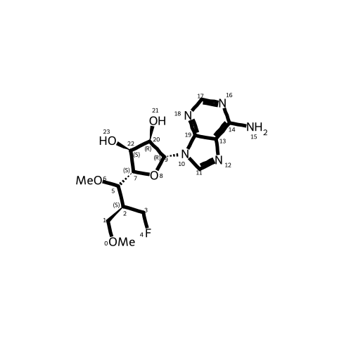 COC[C@H](CF)C(OC)[C@H]1O[C@@H](n2cnc3c(N)ncnc32)[C@H](O)[C@@H]1O